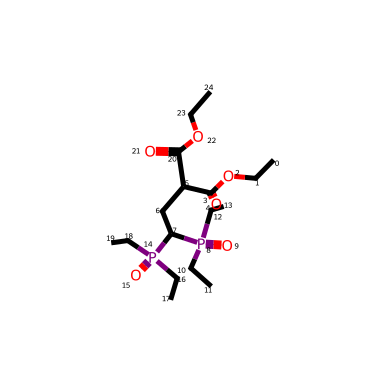 CCOC(=O)C(CC(P(=O)(CC)CC)P(=O)(CC)CC)C(=O)OCC